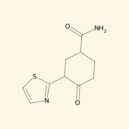 NC(=O)C1CCC(=O)C(c2nccs2)C1